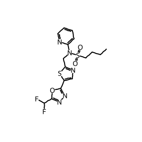 CCCCS(=O)(=O)N(Cc1ncc(-c2nnc(C(F)F)o2)s1)c1ccccn1